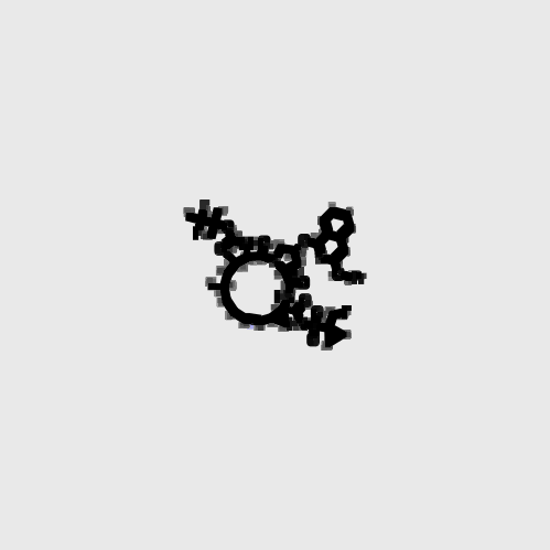 CC(C)Oc1cc2ccccc2c(O[C@@H]2C[C@H]3C(=O)N[C@]4(C(=O)NS(=O)(=O)C5(CF)CC5)CC4/C=C\CC[C@@H](C)C[C@@H](C)[C@H](NC(=O)OC(C)(C)C(C)(F)F)C(=O)N3C2)n1